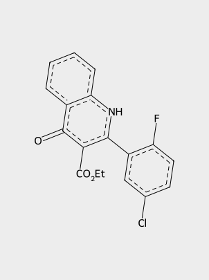 CCOC(=O)c1c(-c2cc(Cl)ccc2F)[nH]c2ccccc2c1=O